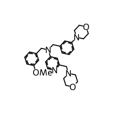 COc1cccc(CN(Cc2cccc(N3CCOCC3)c2)c2ccnc(CN3CCOCC3)c2)c1